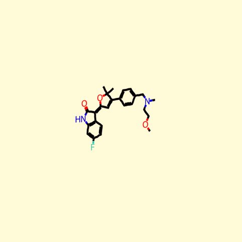 COCCN(C)Cc1ccc(C2=CC(=C3C(=O)Nc4cc(F)ccc43)OC2(C)C)cc1